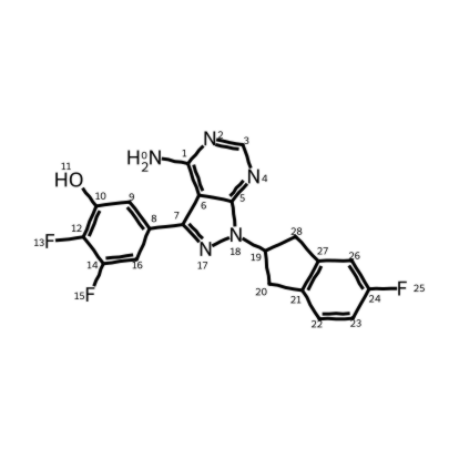 Nc1ncnc2c1c(-c1cc(O)c(F)c(F)c1)nn2C1Cc2ccc(F)cc2C1